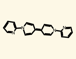 C1=CN(c2ccccn2)C=CC1=C1C=CN(c2ccccn2)C=C1